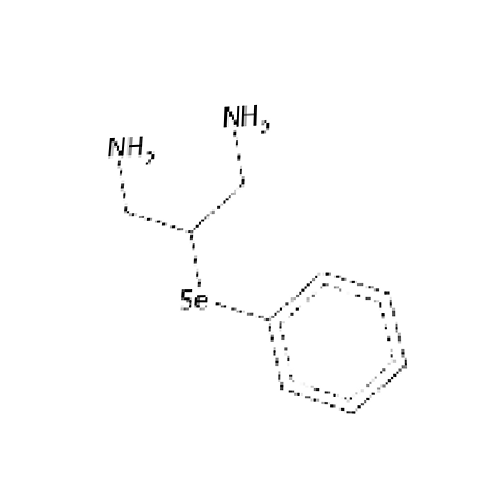 NCC(CN)[Se]c1ccccc1